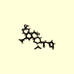 CC(C)[C@@H]1CN(c2nc(C3CC3)c3c(c2C=N)CC(C)(C)OC3)CCN1C(=O)Cn1ccnn1